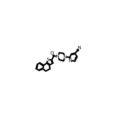 N#Cc1ccnc(N2CCN(C(=O)c3cc4c(s3)-c3ccccc3CC4)CC2)c1